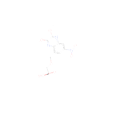 COc1nc2cc([N+](=O)[O-])cc(COCC(=O)O)c2nc1OC